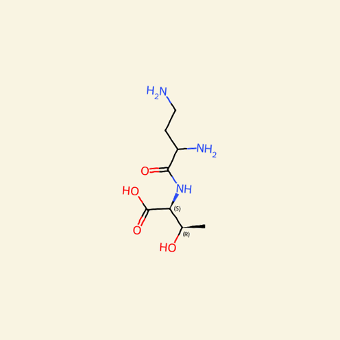 C[C@@H](O)[C@H](NC(=O)C(N)CCN)C(=O)O